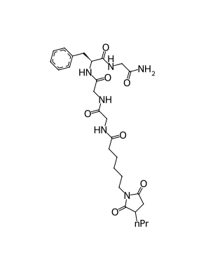 CCCC1CC(=O)N(CCCCCC(=O)NCC(=O)NCC(=O)N[C@@H](Cc2ccccc2)C(=O)NCC(N)=O)C1=O